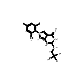 Cc1cc(C)c(-n2cc3c(=O)[nH]c(OCC(C)(F)F)nc3n2)c(O)c1